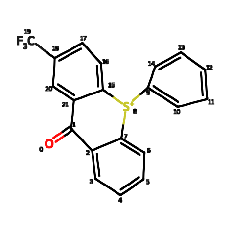 O=c1c2ccccc2[s+](-c2ccccc2)c2ccc(C(F)(F)F)cc12